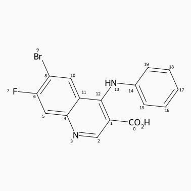 O=C(O)c1cnc2cc(F)c(Br)cc2c1Nc1ccccc1